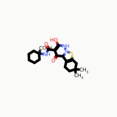 CC1(C)CCC2=C(C1)SN1NC(O)=C(C(=O)NC3(C(=O)O)CCCCC3)C(=O)C21